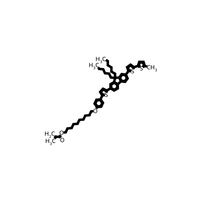 C=C(C)C(=O)OCCCCCCCCCCOc1ccc(-c2ccc(-c3ccc4c(c3)C(CCCCCC)(CCCCCC)c3cc(-c5ccc(-c6ccc(C)s6)s5)ccc3-4)s2)cc1